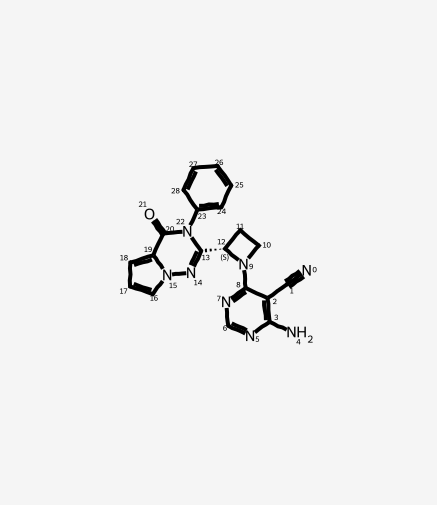 N#Cc1c(N)ncnc1N1CC[C@H]1c1nn2cccc2c(=O)n1-c1ccccc1